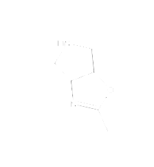 CC1=NC2CNCC2O1